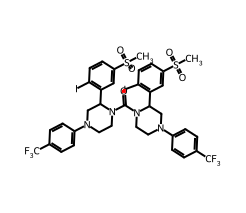 CS(=O)(=O)c1ccc(I)c(C2CN(c3ccc(C(F)(F)F)cc3)CCN2C(=O)N2CCN(c3ccc(C(F)(F)F)cc3)CC2c2cc(S(C)(=O)=O)ccc2I)c1